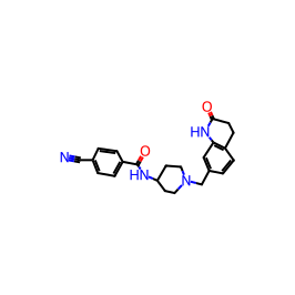 N#Cc1ccc(C(=O)NC2CCN(Cc3ccc4c(c3)NC(=O)CC4)CC2)cc1